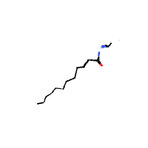 CC=NC(=O)CCCCCCCCCCC